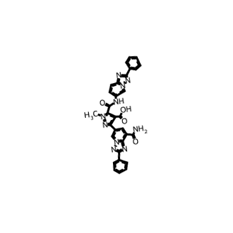 Cn1nc(-c2cc(C(N)=O)c3nc(-c4ccccc4)nn3c2)c(C(=O)O)c1C(=O)Nc1ccc2nc(-c3ccccc3)nn2c1